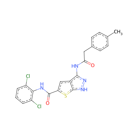 Cc1ccc(CC(=O)Nc2n[nH]c3sc(C(=O)Nc4c(Cl)cccc4Cl)cc23)cc1